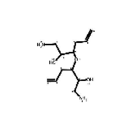 C=CCC(OC(CC=C)C(O)CN)C(O)CN